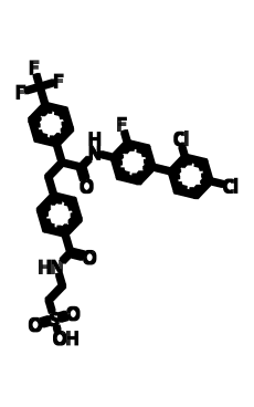 O=C(NCCS(=O)(=O)O)c1ccc(CC(C(=O)Nc2ccc(-c3ccc(Cl)cc3Cl)cc2F)c2ccc(C(F)(F)F)cc2)cc1